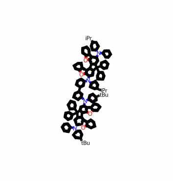 CC(C)c1ccc(N(c2cccc(-c3cccc(N(c4ccc(C(C)(C)C)cc4)c4cc5c(c6oc7ccccc7c46)-c4c(cc(N(c6ccccc6)c6ccc(C(C)(C)C)cc6)c6oc7ccccc7c46)C5(c4ccccc4)c4ccccc4)c3)c2)c2cc3c(c4c2oc2ccccc24)-c2c(cc(N(c4ccccc4)c4ccc(C(C)C)cc4)c4c2oc2ccccc24)C3(c2ccccc2)c2ccccc2)cc1